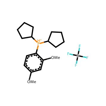 COc1ccc([PH+](C2CCCC2)C2CCCC2)c(OC)c1.F[B-](F)(F)F